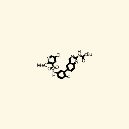 COc1ncc(Cl)cc1S(=O)(=O)Nc1ccc(F)c(-c2ccc3nc(NC(=O)C(C)(C)C)ncc3c2)c1